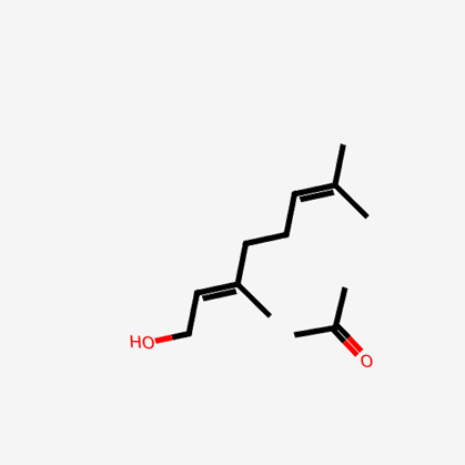 CC(C)=CCC/C(C)=C/CO.CC(C)=O